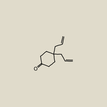 C=CCC1(CC=C)CCC(=O)CC1